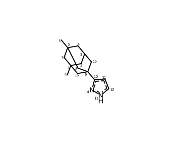 CC12CC3CC(C)(C1)CC(c1cc[nH]n1)(C3)C2